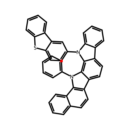 c1ccc(-n2c3c4ccccc4ccc3c3ccc4c5ccccc5n(-c5ccc6sc7ccccc7c6c5)c4c32)cc1